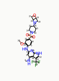 CNc1cc(Nc2ccc(S(=O)(=O)N3CCC(N4CC5OCC54)CC3)cc2OC)nc2[nH]cc(C(F)(F)F)c12